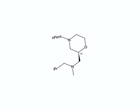 CCCCCN1CCO[C@@H](CN(C)CC(C)C)C1